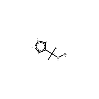 CC(C)(SS)c1cnsc1